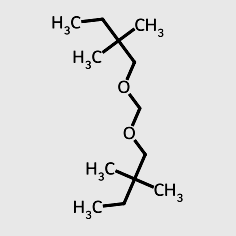 CCC(C)(C)COCOCC(C)(C)CC